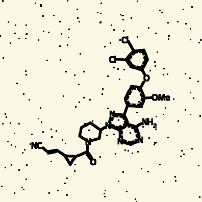 COc1cc(-c2nn(C3CCCN(C(=O)C4CC4C=CC#N)C3)c3ncnc(N)c23)ccc1Oc1ccc(Cl)c(Cl)c1